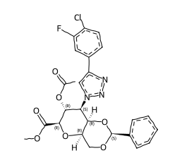 COC(=O)[C@@H]1O[C@@H]2CO[C@H](c3ccccc3)O[C@@H]2[C@H](n2cc(-c3ccc(Cl)c(F)c3)nn2)[C@H]1OC(C)=O